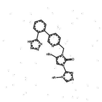 CCCCc1cn(-c2nncn2CCC)c(=O)n1Cc1ccc(-c2ccccc2-c2nnn[nH]2)cn1